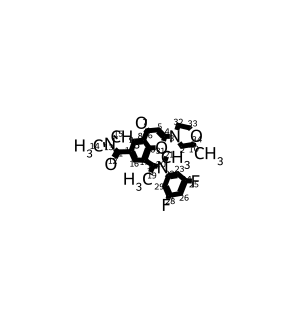 CC1CN(c2cc(=O)c3cc(C(=O)N(C)C)cc(C(C)N(C)c4cc(F)cc(F)c4)c3o2)CCO1